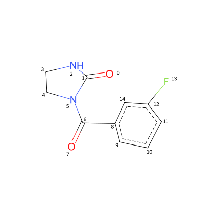 O=C1NCCN1C(=O)c1cccc(F)c1